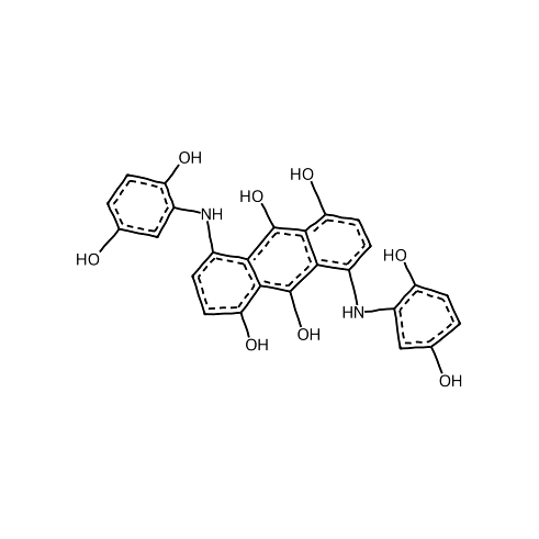 Oc1ccc(O)c(Nc2ccc(O)c3c(O)c4c(Nc5cc(O)ccc5O)ccc(O)c4c(O)c23)c1